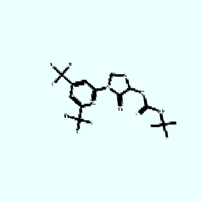 CC(C)(C)NC(=O)OC1SCN(c2cc(C(F)(F)F)cc(C(F)(F)F)n2)C1=O